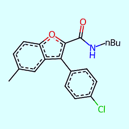 CCCCNC(=O)c1oc2ccc(C)cc2c1-c1ccc(Cl)cc1